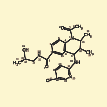 CC(=O)N1c2ccc(C(=O)NC[C@@H](C)O)cc2C(Nc2ccc(Cl)cn2)C(C)C1C